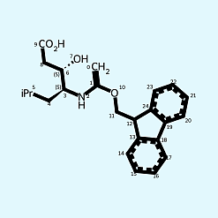 C=C(N[C@@H](CC(C)C)[C@@H](O)CC(=O)O)OCC1c2ccccc2-c2ccccc21